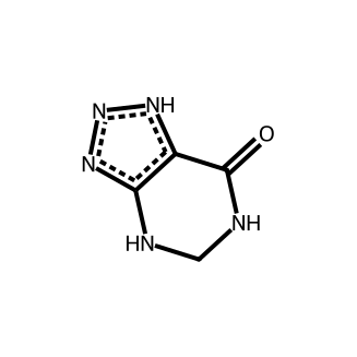 O=C1NCNc2nn[nH]c21